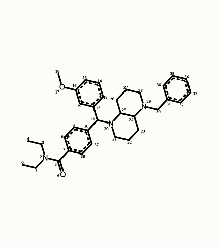 CCN(CC)C(=O)c1ccc(C(c2cccc(OC)c2)N2CCCC3C2CCCN3Cc2ccccc2)cc1